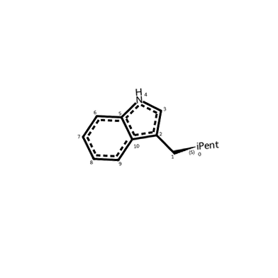 CCC[C@H](C)Cc1c[nH]c2ccccc12